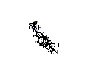 C[C@]12CC/C(=N\NS(C)(=O)=O)C=C1CC[C@@H]1[C@@H]2CC[C@@]2(C)[C@H]1CC[C@@]2(O)CC#N